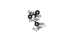 NNc1ccc(CNCc2[nH]c3ccccc3c2C2NC(=O)c3ccc(O)cc32)cc1N